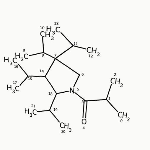 CC(C)C(=O)N1CC(C(C)C)(C(C)C)C(C(C)C)C1C(C)C